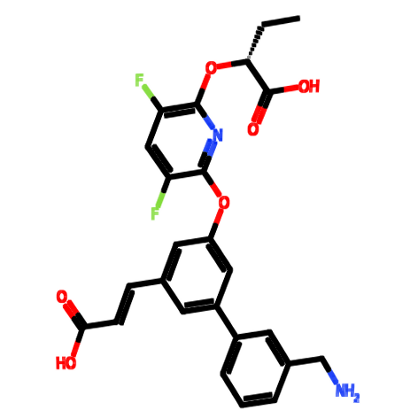 CC[C@@H](Oc1nc(Oc2cc(C=CC(=O)O)cc(-c3cccc(CN)c3)c2)c(F)cc1F)C(=O)O